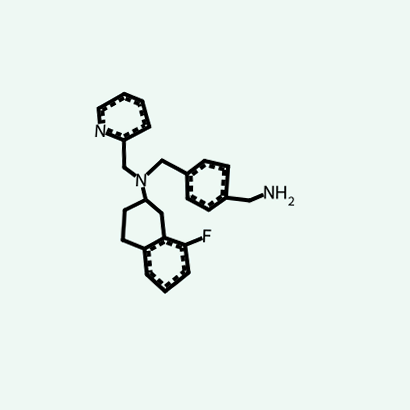 NCc1ccc(CN(Cc2ccccn2)C2CCc3cccc(F)c3C2)cc1